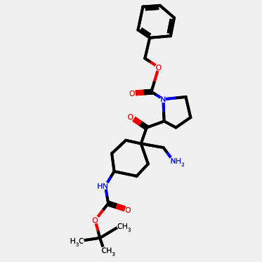 CC(C)(C)OC(=O)NC1CCC(CN)(C(=O)C2CCCN2C(=O)OCc2ccccc2)CC1